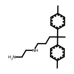 Cc1ccc(C(C)(CCCNCCN)c2ccc(C)cc2)cc1